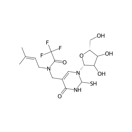 CC(C)=CCN(CC1=CN([C@@H]2O[C@H](CO)C(O)C2O)C(S)NC1=O)C(=O)C(F)(F)F